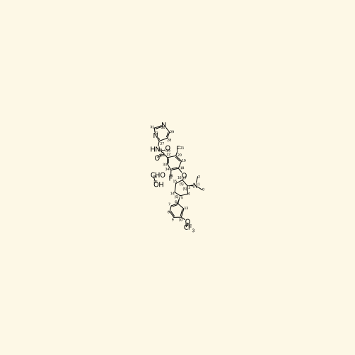 CN(C)[C@H]1C[C@@H](c2cccc(OC(F)(F)F)c2)CC[C@@H]1Oc1cc(F)c(S(=O)(=O)Nc2ccncn2)cc1F.O=CO